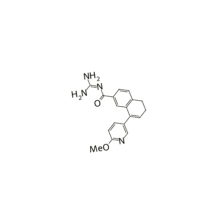 COc1ccc(C2=CCCc3ccc(C(=O)N=C(N)N)cc32)cn1